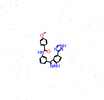 COc1ccc(C(=O)Nc2cccc(-c3n[nH]c4ccc(-c5nc[nH]n5)cc34)c2)cc1